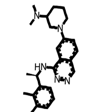 Cc1cccc([C@@H](C)Nc2nncc3ccc(N4CCCC(N(C)C)C4)cc23)c1C